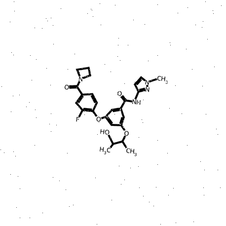 CC(O)C(C)Oc1cc(Oc2ccc(C(=O)N3CCC3)cc2F)cc(C(=O)Nc2ccn(C)n2)c1